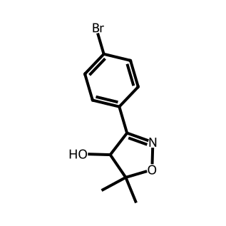 CC1(C)ON=C(c2ccc(Br)cc2)C1O